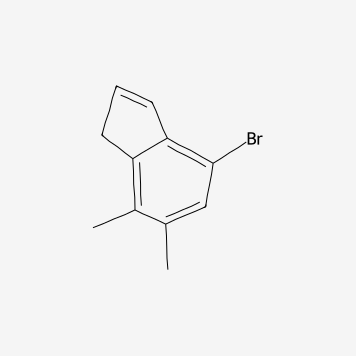 Cc1cc(Br)c2c(c1C)CC=C2